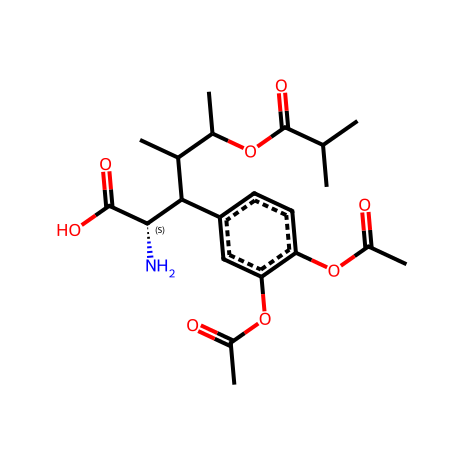 CC(=O)Oc1ccc(C(C(C)C(C)OC(=O)C(C)C)[C@H](N)C(=O)O)cc1OC(C)=O